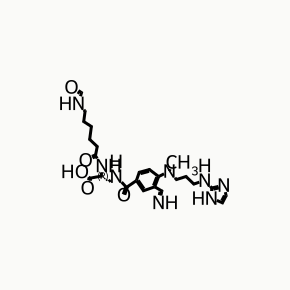 CN(CCCNc1ncc[nH]1)c1ccc(C(=O)NC[C@@H](NC(=O)CCCCCNC=O)C(=O)O)cc1C=N